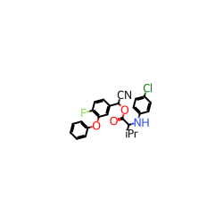 CC(C)C(Nc1ccc(Cl)cc1)C(=O)OC(C#N)c1ccc(F)c(Oc2ccccc2)c1